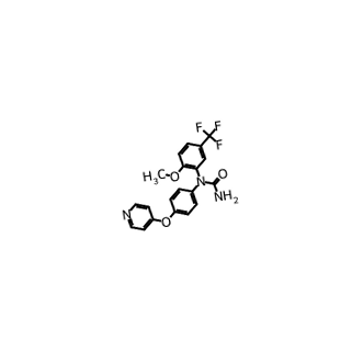 COc1ccc(C(F)(F)F)cc1N(C(N)=O)c1ccc(Oc2ccncc2)cc1